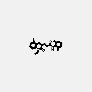 CCOC(=O)C(CCC(=O)Nc1c(C)cccc1C)Cc1ccccc1F